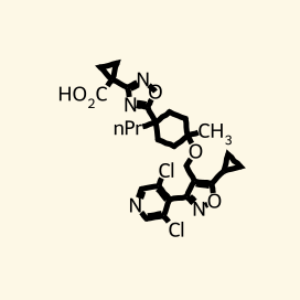 CCCC1(c2nc(C3(C(=O)O)CC3)no2)CCC(C)(OCc2c(-c3c(Cl)cncc3Cl)noc2C2CC2)CC1